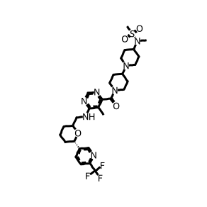 Cc1c(NCC2CCC[C@@H](c3ccc(C(F)(F)F)nc3)O2)ncnc1C(=O)N1CCC(N2CCC(N(C)S(C)(=O)=O)CC2)CC1